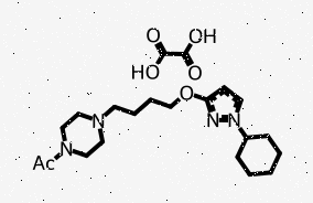 CC(=O)N1CCN(CCCCOc2ccn(C3CCCCC3)n2)CC1.O=C(O)C(=O)O